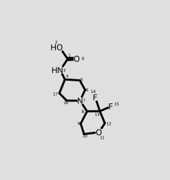 O=C(O)NC1CCN(C2CCOCC2(F)F)CC1